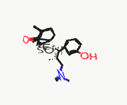 CC12CCC(C(S(=O)(=O)O)C1=O)C2(C)C.CC[C@@H](c1cccc(O)c1)[C@@H](C)CN(C)C